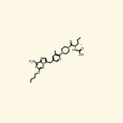 CCCCOc1nc(N)c2ncc(Cc3cnc(N4CCN(C(=O)[C@@H](NC(=O)O)[C@@H](C)CC)CC4)c(C)c3)n2n1